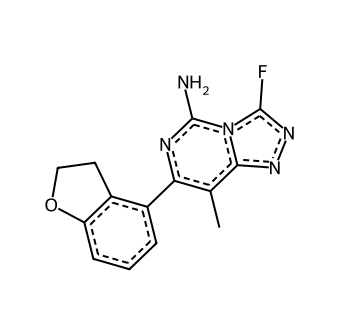 Cc1c(-c2cccc3c2CCO3)nc(N)n2c(F)nnc12